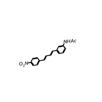 CC(=O)Nc1cccc(/C=C/C=C/c2ccc([N+](=O)[O-])cc2)c1